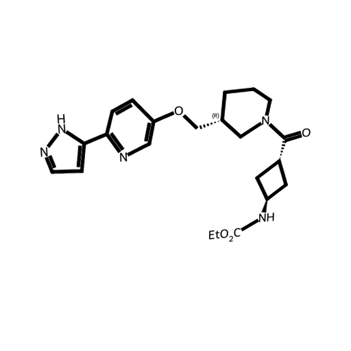 CCOC(=O)N[C@H]1C[C@H](C(=O)N2CCC[C@@H](COc3ccc(-c4ccn[nH]4)nc3)C2)C1